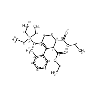 CCOC(=O)[C@H]1C(c2ccccc2C)=C(O[Si](CC)(CC)CC)CC[C@@H]1C(=O)OCC